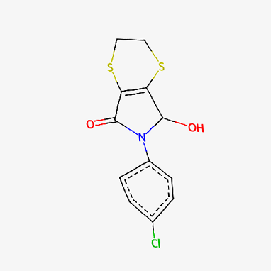 O=C1C2=C(SCCS2)C(O)N1c1ccc(Cl)cc1